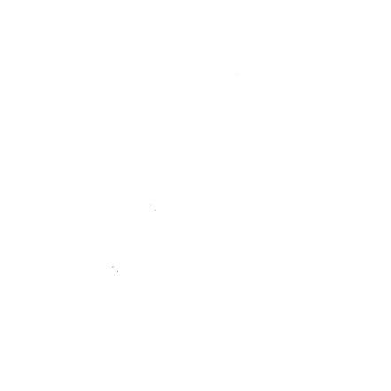 CCCSC1CC(O)N(CCC(=O)NCCOCCOCCOCCOC)C1=O